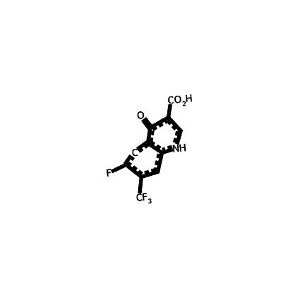 O=C(O)c1c[nH]c2cc(C(F)(F)F)c(F)cc2c1=O